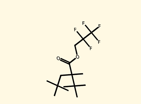 CC(C)(C)CC(C)(C(=O)OCC(F)(F)C(F)(F)F)C(C)(C)C